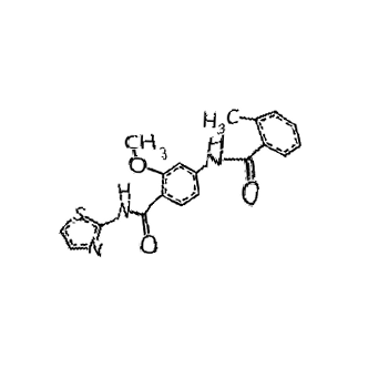 COc1cc(NC(=O)c2ccccc2C)ccc1C(=O)Nc1nccs1